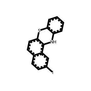 Ic1ccc2ccc3c(c2c1)Nc1ccccc1S3